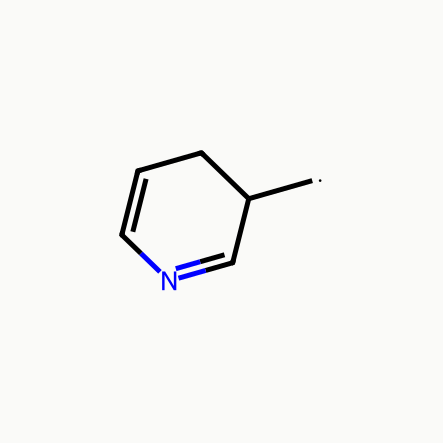 [CH2]C1C=NC=CC1